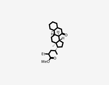 CCC(CC(C)[C@H]1CC[C@H]2[C@@H]3C(=O)CC4CCCC[C@]4(C)[C@H]3CC[C@]12C)C(=O)OC